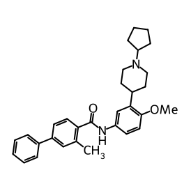 COc1ccc(NC(=O)c2ccc(-c3ccccc3)cc2C)cc1C1CCN(C2CCCC2)CC1